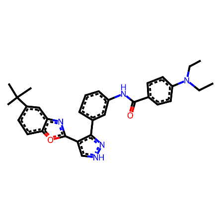 CCN(CC)c1ccc(C(=O)Nc2cccc(-c3n[nH]cc3-c3nc4cc(C(C)(C)C)ccc4o3)c2)cc1